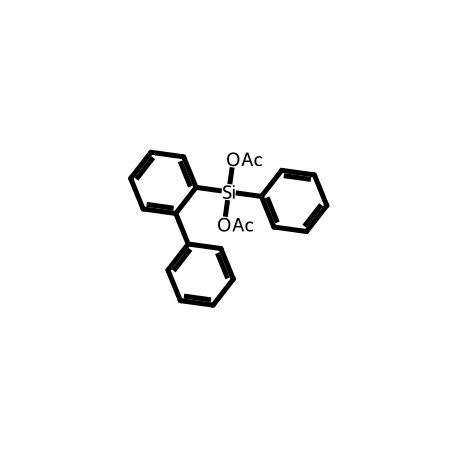 CC(=O)O[Si](OC(C)=O)(c1ccccc1)c1ccccc1-c1ccccc1